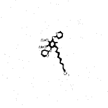 COc1c(OC2CCCCO2)c(C)c(CCCCCCCCCC(F)(F)F)c(OC2CCCCO2)c1OC